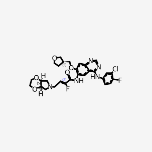 O=C(Nc1cc2c(Nc3ccc(F)c(Cl)c3)ncnc2cc1OC[C@H]1CCOC1)/C(F)=C/CN1C[C@@H]2OCCO[C@H]2C1